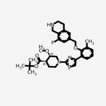 CO[C@H]1CN(c2nc(-c3cccc(C)c3OCc3cc(F)c4c(c3)CCNC4)cs2)CC[C@H]1C(=O)OC(C)(C)C